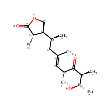 CC[C@@H](C)[C@@H](O)[C@H](C)C(=O)[C@H](C)/C=C(\C)C[C@H](C)[C@@H]1COC(=O)[C@H]1CC